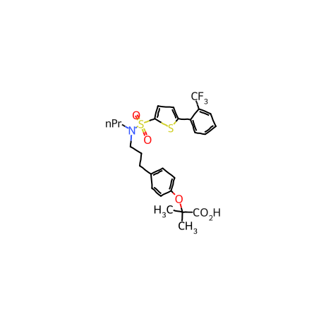 CCCN(CCCc1ccc(OC(C)(C)C(=O)O)cc1)S(=O)(=O)c1ccc(-c2ccccc2C(F)(F)F)s1